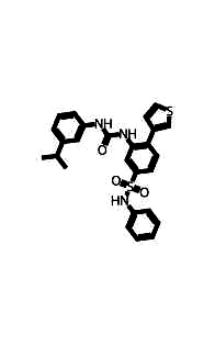 CC(C)c1cccc(NC(=O)Nc2cc(S(=O)(=O)Nc3ccccc3)ccc2-c2ccsc2)c1